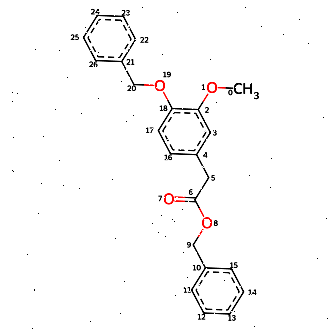 COc1cc(CC(=O)OCc2ccccc2)ccc1OCc1ccccc1